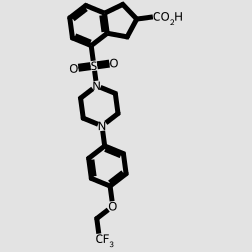 O=C(O)C1Cc2cccc(S(=O)(=O)N3CCN(c4ccc(OCC(F)(F)F)cc4)CC3)c2C1